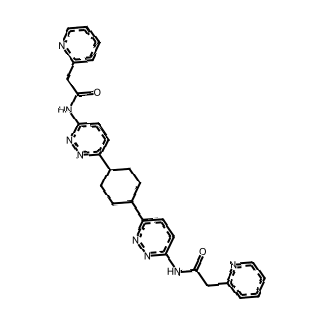 O=C(Cc1ccccn1)Nc1ccc(C2CCC(c3ccc(NC(=O)Cc4ccccn4)nn3)CC2)nn1